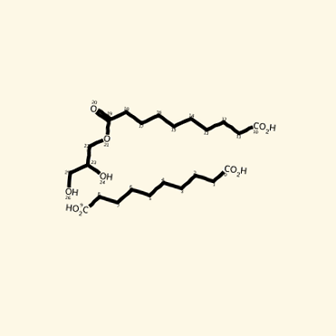 O=C(O)CCCCCCCCC(=O)O.O=C(O)CCCCCCCCC(=O)OCC(O)CO